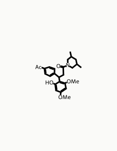 COc1cc(O)c(C(CC(=O)N2CC(C)CC(C)C2)c2ccc(C(C)=O)cc2)c(OC)c1